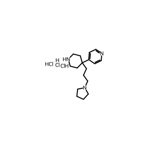 Cl.Cl.Cl.c1cc(C2(CCCN3CCCC3)CCNCC2)ccn1